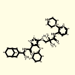 CC(NC(=O)c1onc(OCC(C)(C)C(=O)Nc2cccnc2N2CCNCC2)c1SC1CCCCC1)C1CC2CCCC(C2)C1